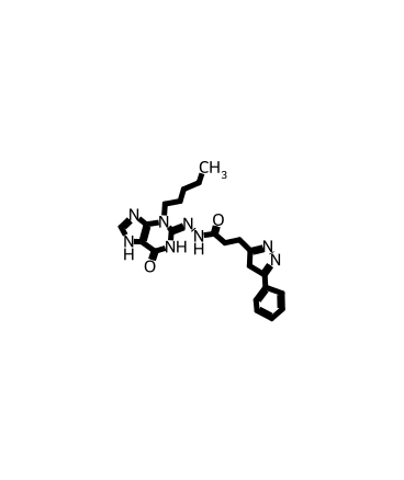 CCCCCn1/c(=N/NC(=O)CCC2=NN=C(c3ccccc3)C2)[nH]c(=O)c2[nH]cnc21